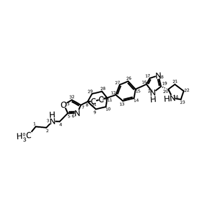 CCCNCc1nc(C23CCC(c4ccc(-c5cnc([C@@H]6CCCN6)[nH]5)cc4)(CC2)CC3)co1